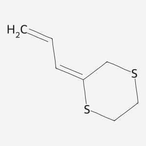 C=CC=C1CSCCS1